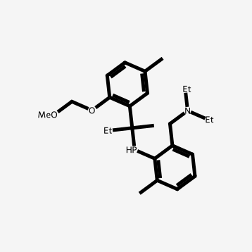 CCN(CC)Cc1cccc(C)c1PC(C)(CC)c1cc(C)ccc1OCOC